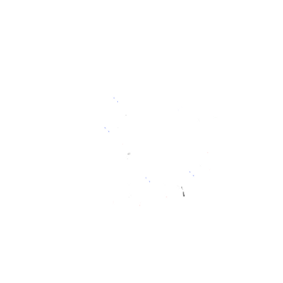 COC(=O)[C@@H]1C[C@@H]2CN1C(=O)[C@H](C(C)(C)C)NC(=O)OCC(F)(F)/C=C/c1cccc(c1)-c1nc3ccccc3nc1O2